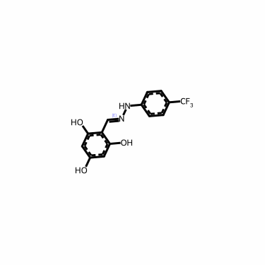 Oc1cc(O)c(/C=N/Nc2ccc(C(F)(F)F)cc2)c(O)c1